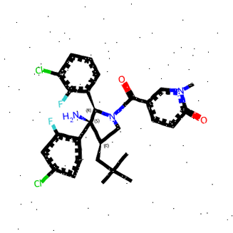 Cn1cc(C(=O)N2C[C@@H](CC(C)(C)C)[C@](N)(c3ccc(Cl)cc3F)[C@H]2c2cccc(Cl)c2F)ccc1=O